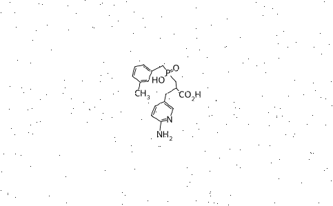 Cc1cccc(CP(=O)(O)CC(Cc2ccc(N)nc2)C(=O)O)c1